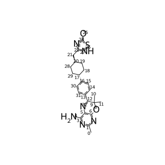 Cc1nc(N)c2c(n1)OC(C)(C)C(c1ccc([C@H]3CC[C@H](Cc4nc(=O)s[nH]4)CC3)cc1)=N2